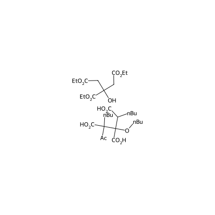 CCCCOC(C(=O)O)(C(CCCC)C(=O)O)C(CCCC)(C(C)=O)C(=O)O.CCOC(=O)CC(O)(CC(=O)OCC)C(=O)OCC